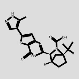 Cc1[nH]ncc1-c1cc2nc([C@@H]3[C@H]4CC[C@](C(C)(C)C)(C4)N3C(=O)O)[nH]c(=O)c2s1